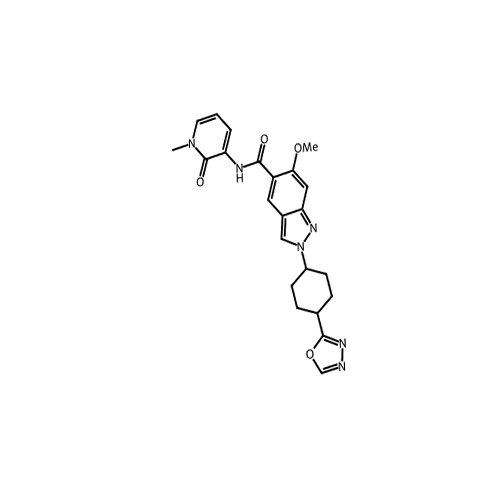 COc1cc2nn(C3CCC(c4nnco4)CC3)cc2cc1C(=O)Nc1cccn(C)c1=O